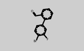 O=Cc1ccccc1-c1ccc(Br)c(F)c1